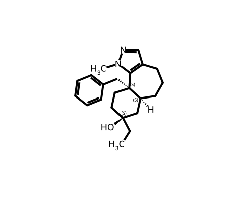 CC[C@]1(O)CC[C@@]2(Cc3ccccc3)c3c(cnn3C)CCC[C@H]2C1